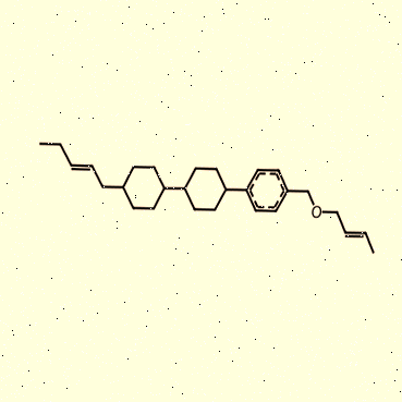 CC=CCOCc1ccc(C2CCC(C3CCC(CC=CCC)CC3)CC2)cc1